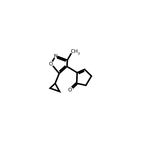 Cc1noc(C2CC2)c1C1=CCCC1=O